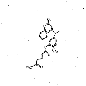 COC(=O)CCCC(=O)Oc1cc(N(C)c2cc(=O)oc3ccccc23)ccc1OC